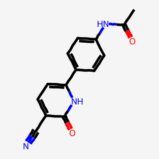 CC(=O)Nc1ccc(-c2ccc(C#N)c(=O)[nH]2)cc1